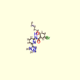 C/C=C/CCOc1ccc(Br)cc1C(=O)Nc1cccc(-c2nncn2C)n1